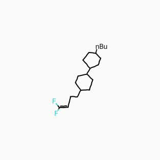 CCCCC1CCC(C2CCC(CCC=C(F)F)CC2)CC1